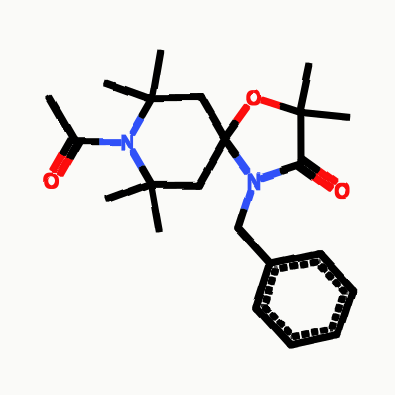 CC(=O)N1C(C)(C)CC2(CC1(C)C)OC(C)(C)C(=O)N2Cc1ccccc1